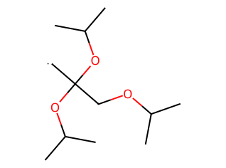 [CH2]C(COC(C)C)(OC(C)C)OC(C)C